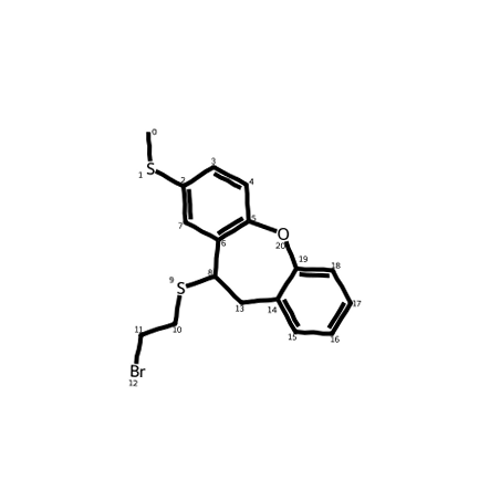 CSc1ccc2c(c1)C(SCCBr)Cc1ccccc1O2